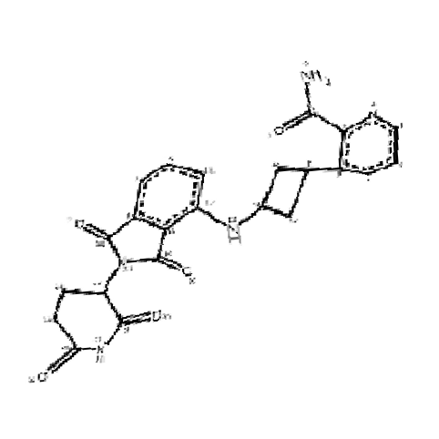 NC(=O)c1ncccc1C1CC(Nc2cccc3c2C(=O)N(C2CCC(=O)NC2=O)C3=O)C1